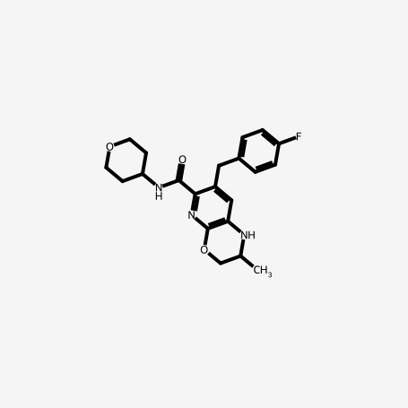 CC1COc2nc(C(=O)NC3CCOCC3)c(Cc3ccc(F)cc3)cc2N1